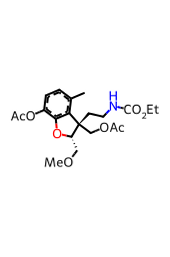 CCOC(=O)NCC[C@]1(COC(C)=O)c2c(C)ccc(OC(C)=O)c2O[C@H]1COC